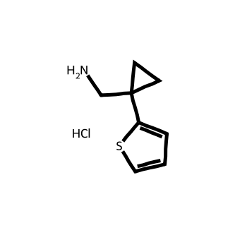 Cl.NCC1(c2cccs2)CC1